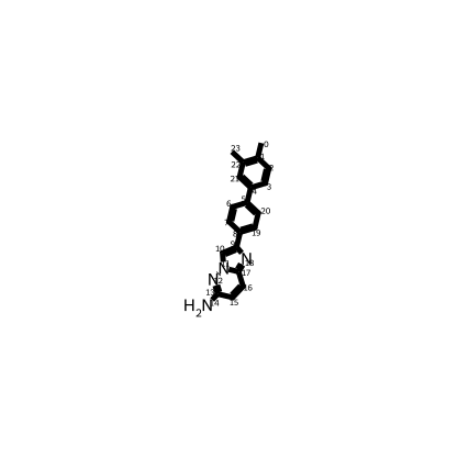 Cc1ccc(-c2ccc(-c3cn4nc(N)ccc4n3)cc2)cc1C